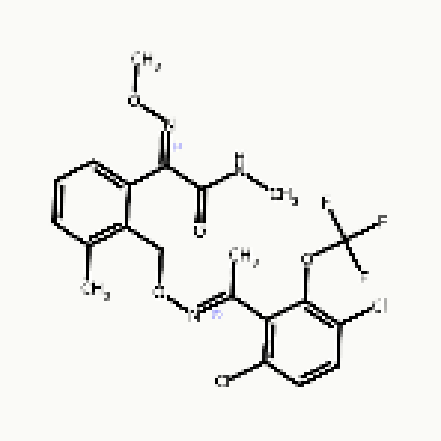 CNC(=O)/C(=N/OC)c1cccc(C)c1CO/N=C(\C)c1c(Cl)ccc(Cl)c1OC(F)(F)F